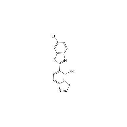 CCc1ccc2nc(-c3ccc4ncsc4c3C(C)C)sc2c1